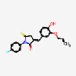 C=CCOc1cc(/C=C2\CC(=S)N(c3ccc(F)cc3)C2=O)ccc1O